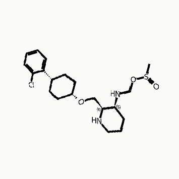 CS(=O)OCN[C@H]1CCCN[C@H]1CO[C@H]1CC[C@@H](c2ccccc2Cl)CC1